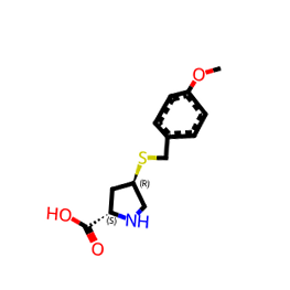 COc1ccc(CS[C@H]2CN[C@H](C(=O)O)C2)cc1